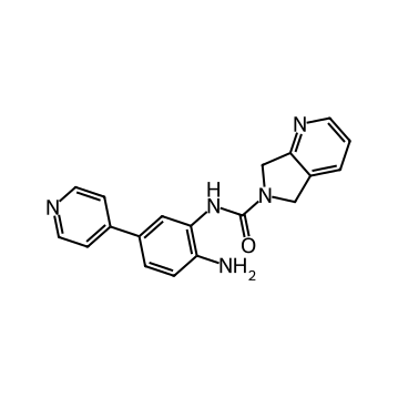 Nc1ccc(-c2ccncc2)cc1NC(=O)N1Cc2cccnc2C1